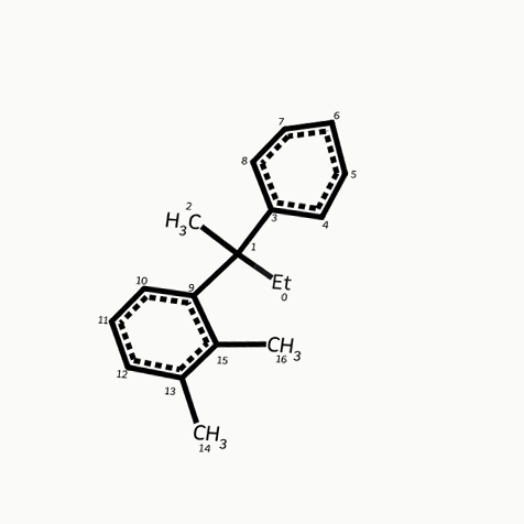 CCC(C)(c1ccccc1)c1cccc(C)c1C